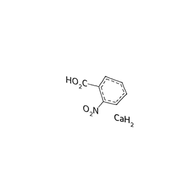 O=C(O)c1ccccc1[N+](=O)[O-].[CaH2]